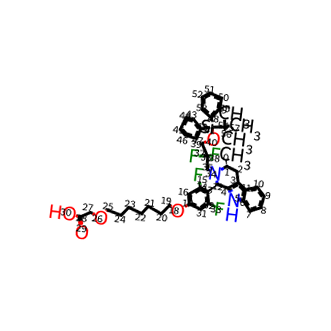 C[C@@H]1Cc2c([nH]c3ccccc23)[C@@H](c2c(F)cc(OCCCCCCCOCC(=O)O)cc2F)N1CC(F)(F)CO[Si](c1ccccc1)(c1ccccc1)C(C)(C)C